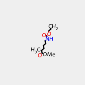 C=CCOC(=O)NCCCC[C@H](C)C(=O)OC